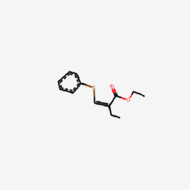 CCOC(=O)C(=CSc1ccccc1)CC